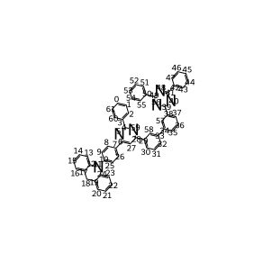 c1ccc(-c2nc(-c3ccc(N4c5ccccc5Cc5ccccc54)cc3)cc(-c3cccc(-c4cccc(-c5nc(-c6ccccc6)nc(-c6ccccc6)n5)c4)c3)n2)cc1